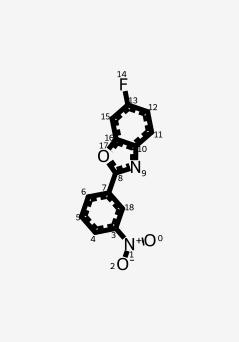 O=[N+]([O-])c1cccc(-c2nc3ccc(F)cc3o2)c1